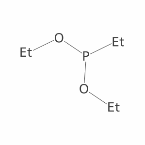 CCOP(CC)OCC